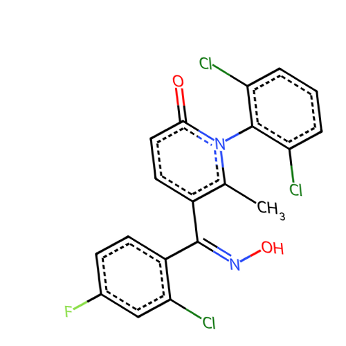 Cc1c(/C(=N\O)c2ccc(F)cc2Cl)ccc(=O)n1-c1c(Cl)cccc1Cl